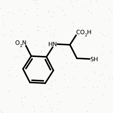 O=C(O)C(CS)Nc1ccccc1[N+](=O)[O-]